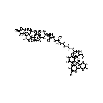 CCC(NC(=O)CCCCCNC(=O)CCC(=O)N[C@H]1CCC2(C)C(CCC3[C@@H]2CC(O)C2(C)C(C4=CC(=O)OC4)CC[C@]32O)C1)C(=O)OC(c1ccccc1)(c1ccccc1)c1ccc(C)cc1